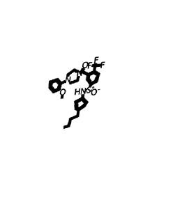 CCCCc1ccc(N[S+]([O-])c2ccc(C(F)(F)F)c(C(=O)N3CCN(c4ccccc4OC)CC3)c2)cc1